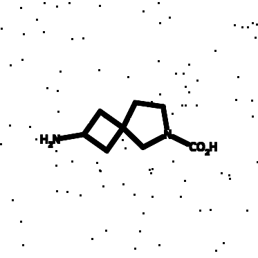 NC1CC2(CCN(C(=O)O)C2)C1